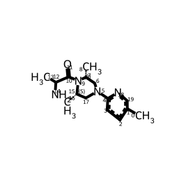 Cc1ccc(N2C[C@@H](C)N(C(=O)C(C)N)[C@@H](C)C2)nc1